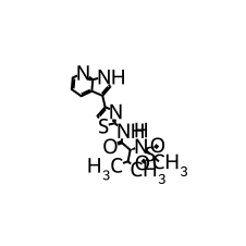 CC(C)[C@H](NS(C)(=O)=O)C(=O)Nc1nc(-c2c[nH]c3ncccc23)cs1